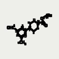 Cc1cc(C=O)nc(N2CCN(C(=O)OC(C)(C)C)CC2)n1